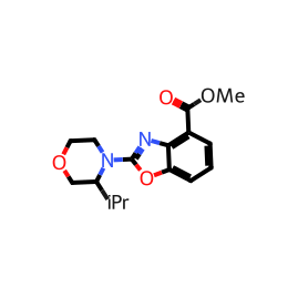 COC(=O)c1cccc2oc(N3CCOCC3C(C)C)nc12